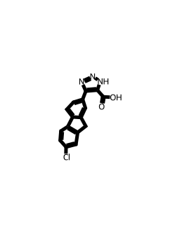 O=C(O)c1[nH]nnc1-c1ccc2c(c1)Cc1cc(Cl)ccc1-2